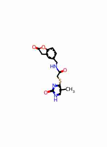 Cc1c[nH]c(=O)nc1SCC(=O)NCc1ccc2c(c1)CC(=O)O2